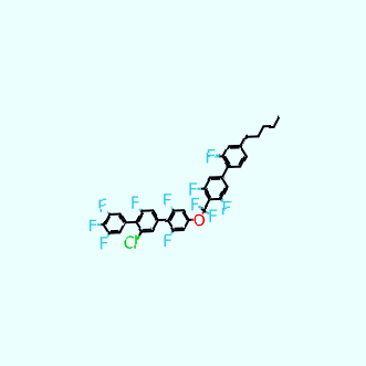 CCCCCc1ccc(-c2cc(F)c(C(F)(F)Oc3cc(F)c(-c4cc(F)c(-c5cc(F)c(F)c(F)c5)c(Cl)c4)c(F)c3)c(F)c2)c(F)c1